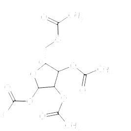 CC(=O)OC[C@H]1OC(OC(C)=O)C(OC(C)=O)C1OC(C)=O